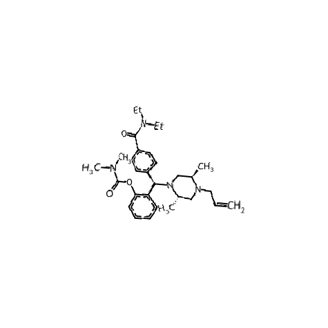 C=CCN1C[C@H](C)N([C@H](c2ccc(C(=O)N(CC)CC)cc2)c2ccccc2OC(=O)N(C)C)C[C@H]1C